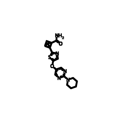 NC(=O)C12CC(C1)C2c1ncc(Oc2cnc(N3CCCCC3)nc2)s1